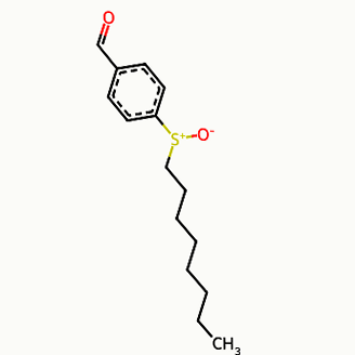 CCCCCCCC[S+]([O-])c1ccc(C=O)cc1